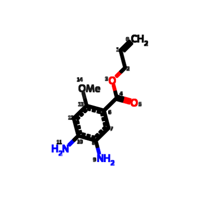 C=CCOC(=O)c1cc(N)c(N)cc1OC